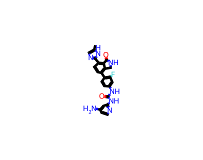 Cc1cnc(-c2ccc(-c3ccc(NC(=O)Nc4cc(N)ccn4)cc3F)c3c2C(=O)NC3)[nH]1